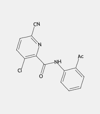 CC(=O)c1ccccc1NC(=O)c1nc(C#N)ccc1Cl